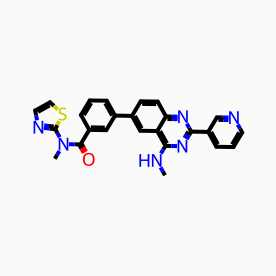 CNc1nc(-c2cccnc2)nc2ccc(-c3cccc(C(=O)N(C)c4nccs4)c3)cc12